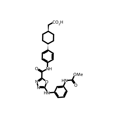 COC(=O)Nc1cccc(Nc2nnc(C(=O)Nc3ccc([C@H]4CC[C@H](CC(=O)O)CC4)cc3)o2)c1